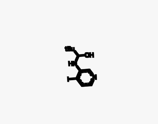 CC(C)(C)C(O)Nc1cnccc1I